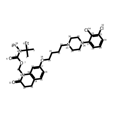 CCC(C)(C)N(C(=O)OCN1C(=O)CCc2ccc(OCCCCN3CCN(c4cccc(Cl)c4Cl)CC3)cc21)C(C)C